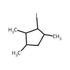 CC1CC(C)C(I)C1C